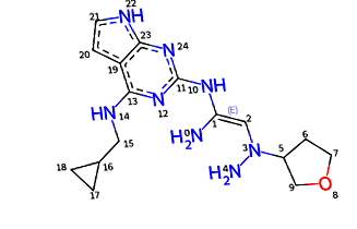 N/C(=C\N(N)C1CCOC1)Nc1nc(NCC2CC2)c2cc[nH]c2n1